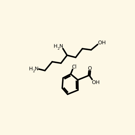 NCCCC(N)CCCO.O=C(O)c1ccccc1Cl